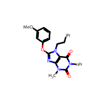 CCCn1c(=O)c2c(nc(Oc3cccc(OC)c3)n2CCC(C)C)n(C)c1=O